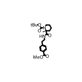 COC(=O)c1ccc(CCNC(=O)[C@@]2(C)CCCCN2C(=O)OC(C)(C)C)cc1